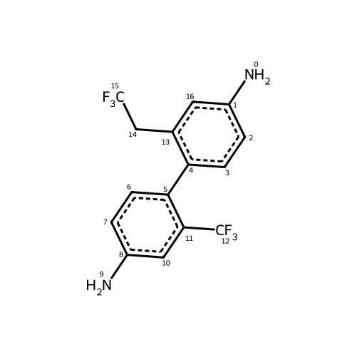 Nc1ccc(-c2ccc(N)cc2C(F)(F)F)c(CC(F)(F)F)c1